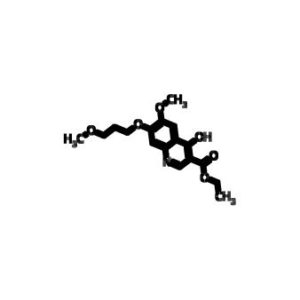 CCOC(=O)c1cnc2cc(OCCCOC)c(OC)cc2c1O